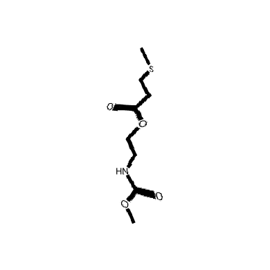 COC(=O)NCCOC(=O)CCSC